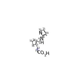 O=C(O)/C=C/C1=C(CCNc2ccccn2)CCC1